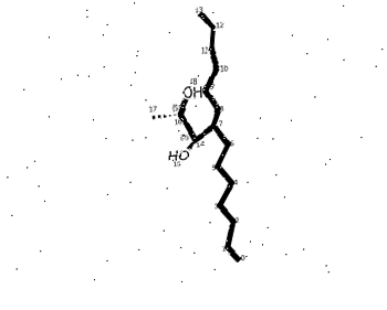 CCCCCCCC(CCCCCC)[C@@H](O)[C@H](C)O